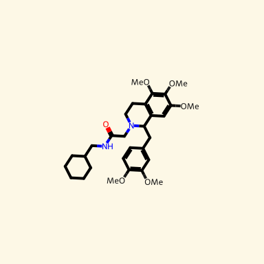 COc1ccc(CC2c3cc(OC)c(OC)c(OC)c3CCN2CC(=O)NCC2CCCCC2)cc1OC